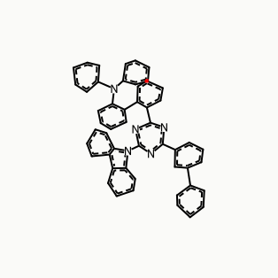 c1ccc(-c2cccc(-c3nc(-c4ccccc4-c4ccccc4N(c4ccccc4)c4ccccc4)nc(-n4c5ccccc5c5ccccc54)n3)c2)cc1